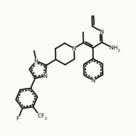 C=C/N=C(N)\C(=C(/C)N1CCC(c2nc(-c3ccc(F)c(C(F)(F)F)c3)cn2C)CC1)c1ccncc1